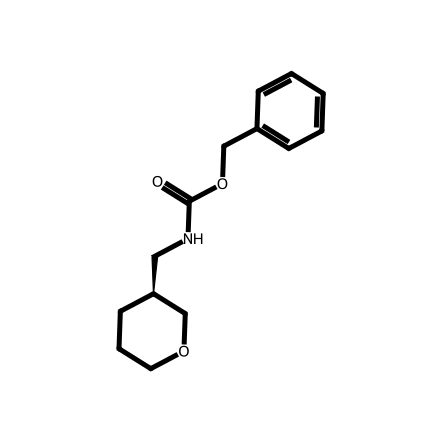 O=C(NC[C@@H]1CCCOC1)OCc1ccccc1